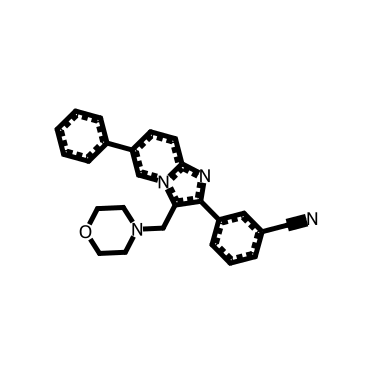 N#Cc1cccc(-c2nc3ccc(-c4ccccc4)cn3c2CN2CCOCC2)c1